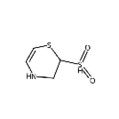 O=[SH](=O)C1CNC=CS1